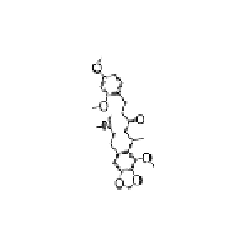 COc1ccc(CCC(=O)CC(C)c2c(CCN(C)C)cc3c(c2OC)OCO3)c(OC)c1